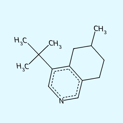 CC1CCc2cncc(C(C)(C)C)c2C1